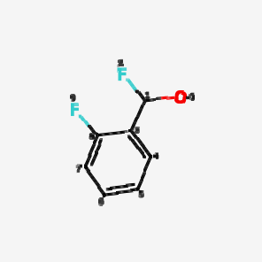 [O]C(F)c1ccccc1F